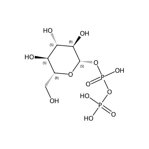 O=P(O)(O)OP(=O)(O)O[C@@H]1O[C@H](CO)[C@@H](O)[C@H](O)[C@H]1O